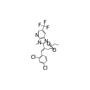 CCS(=O)(=O)C/C(=C\c1ccc(Cl)cc1Cl)c1nc2cc(C(F)(F)F)cnc2n1C